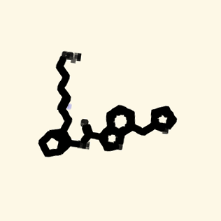 O=C(O)CCC/C=C/CC1C2CCC(C2)C1NC(=O)c1csc2c(Cc3cccs3)cccc12